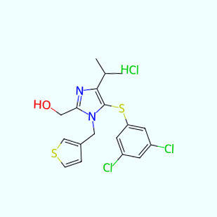 CC(C)c1nc(CO)n(Cc2ccsc2)c1Sc1cc(Cl)cc(Cl)c1.Cl